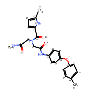 CC(C)NC(=O)CN(CC(=O)Nc1ccc(Oc2ccc(C(F)(F)F)cc2)cc1)C(=O)c1ccc(C(F)(F)F)[nH]1